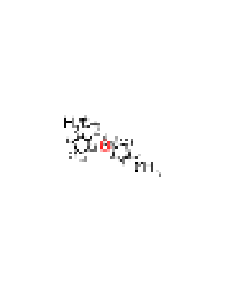 CCc1ccc(OCC(CC)c2ccccc2)cc1